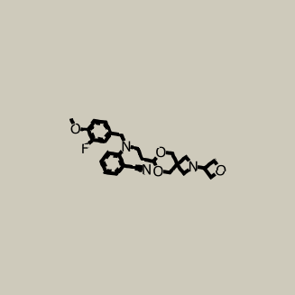 COc1ccc(CN(CCC2OCC3(CO2)CN(C2COC2)C3)c2ccccc2C#N)cc1F